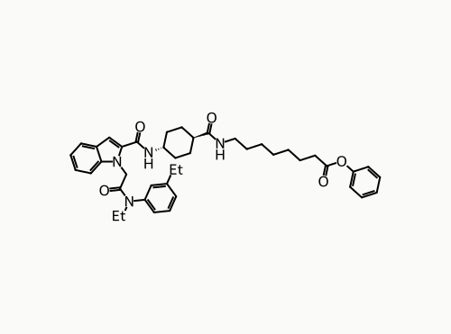 CCc1cccc(N(CC)C(=O)Cn2c(C(=O)N[C@H]3CC[C@H](C(=O)NCCCCCCCC(=O)Oc4ccccc4)CC3)cc3ccccc32)c1